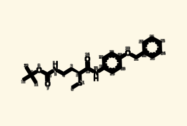 CS[C@@H](CCNC(=O)OC(C)(C)C)C(=O)Nc1ccc(OCc2ccccc2)cc1